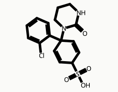 O=C1NCCCN1C1(c2ccccc2Cl)C=CC(S(=O)(=O)O)C=C1